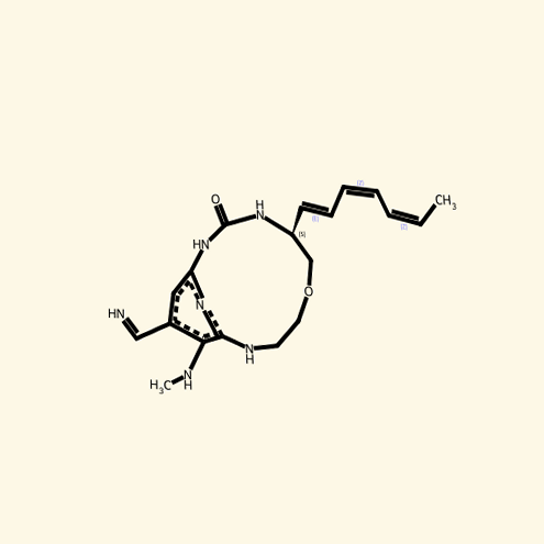 C\C=C/C=C\C=C\[C@H]1COCCNc2nc(cc(C=N)c2NC)NC(=O)N1